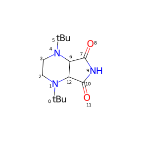 CC(C)(C)N1CCN(C(C)(C)C)C2C(=O)NC(=O)C21